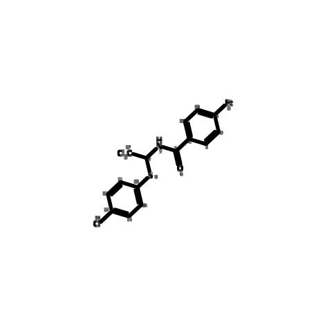 CCc1ccc(C(=O)NC(Sc2ccc(Cl)cc2)C(Cl)(Cl)Cl)cc1